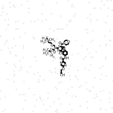 C#CCOc1cnc(C(=O)Nc2ccc(F)c([C@@]3(C)N=C(N(COCC[Si](C)(C)C)C(=O)OC(C)(C)C)S[C@@]4(C(=O)N5CCOCC5)C[C@H]43)c2)cn1